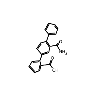 NC(=O)c1cc(-c2ccccc2C(=O)O)ccc1-c1ccccc1